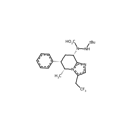 C[C@@H]1[C@H](c2ccccc2)C[C@H](N(NC(C)(C)C)C(=O)O)c2ncc(CC(F)(F)F)n21